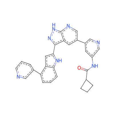 O=C(Nc1cncc(-c2cnc3[nH]nc(-c4cc5c(-c6cccnc6)cccc5[nH]4)c3c2)c1)C1CCC1